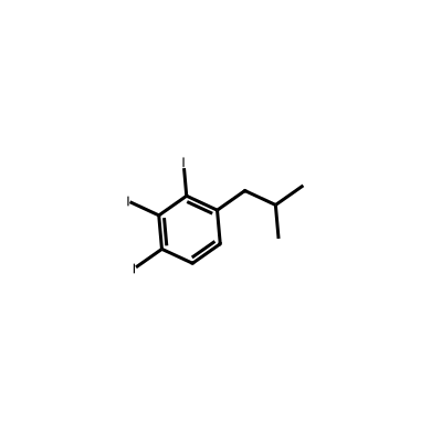 CC(C)Cc1ccc(I)c(I)c1I